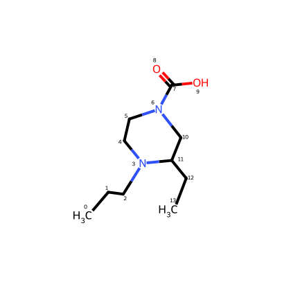 CCCN1CCN(C(=O)O)CC1CC